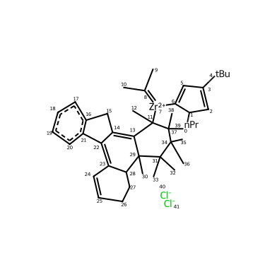 CCCC1C=C(C(C)(C)C)C=[C]1[Zr+2](=[C](C)C)[C]1(C)C2=C3Cc4ccccc4C3=C3C=CCCC3C2(C)C(C)(C)C(C)(C)C1(C)C.[Cl-].[Cl-]